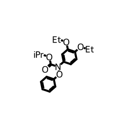 CCOc1ccc(N(Oc2ccccc2)C(=O)OC(C)C)cc1OCC